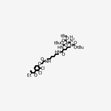 C=C(CC)C(=O)c1ccc(OCC(=O)NCCCCCCNC(=O)C(CCCN(C(=O)OC(C)(C)C)C(N)=NC(=O)OC(C)(C)C)NC(=O)OC(C)(C)C)c(Cl)c1Cl